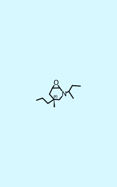 CCC[C@]1(C)CC2OC2N(C(C)CC)C1